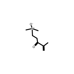 C=C(C)C(=O)CC[N+](C)(C)[O-]